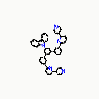 c1cc(-c2cc(-c3cccc(-c4cccc(-c5ccncc5)n4)c3)cc(-n3c4ccccc4c4ccccc43)c2)cc(-c2cccc(-c3ccncc3)n2)c1